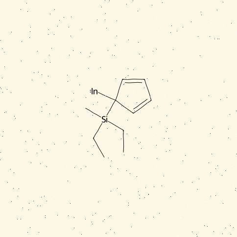 CC[Si](C)(CC)[C]1([In])C=CC=C1